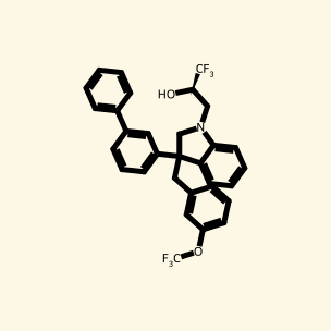 O[C@H](CN1CC(Cc2cccc(OC(F)(F)F)c2)(c2cccc(-c3ccccc3)c2)c2ccccc21)C(F)(F)F